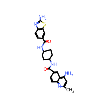 Cc1cc(N)c2cc(C(=O)NC3CCC(NC(=O)c4ccc5nc(N)sc5c4)CC3)ccc2n1